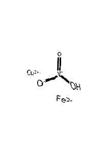 O=[N+]([O-])O.[Cu+2].[Fe+2]